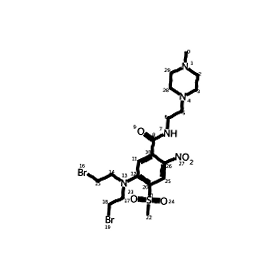 CN1CCN(CCNC(=O)c2cc(N(CCBr)CCBr)c(S(C)(=O)=O)cc2[N+](=O)[O-])CC1